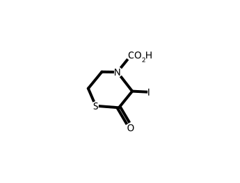 O=C1SCCN(C(=O)O)C1I